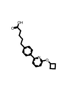 O=C(O)CCCCc1ccc(-c2cccc(OC3CCC3)n2)cc1